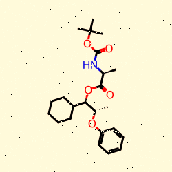 C[C@H](NC(=O)OC(C)(C)C)C(=O)O[C@H](C1CCCCC1)[C@H](C)Oc1ccccc1